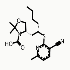 CCCC[C@@H](C[C@H]1COC(C)(C)N1C(=O)O)Sc1nc(C)ccc1C#N